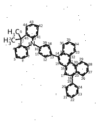 CC1(C)c2ccccc2N(c2ccc(-c3cc4cc(-c5ccccc5)c5ccccc5c4c4ccccc34)cc2)c2ccccc21